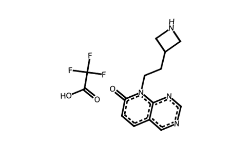 O=C(O)C(F)(F)F.O=c1ccc2cncnc2n1CCC1CNC1